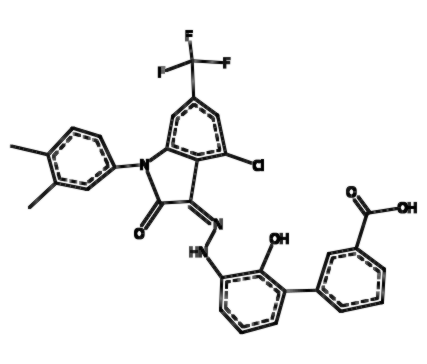 Cc1ccc(N2C(=O)C(=NNc3cccc(-c4cccc(C(=O)O)c4)c3O)c3c(Cl)cc(C(F)(F)F)cc32)cc1C